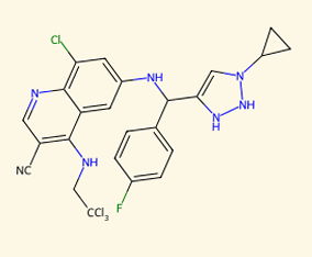 N#Cc1cnc2c(Cl)cc(NC(C3=CN(C4CC4)NN3)c3ccc(F)cc3)cc2c1NCC(Cl)(Cl)Cl